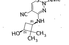 CNN1N=C(N[C@@H]2C[C@H](O)C2(C)C)C(C#N)=CS1